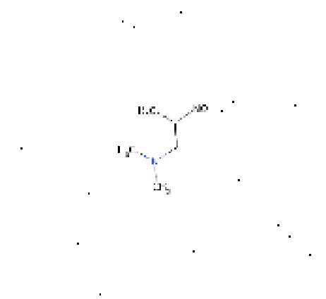 CC(CN(C)C)N=O